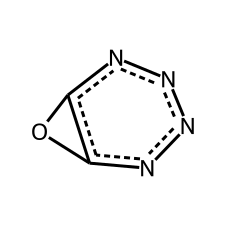 n1nnc2c(n1)O2